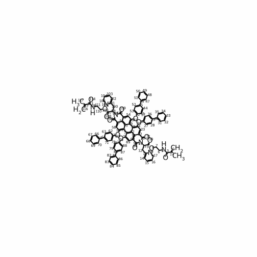 C=C(C)C(=O)NCCOC(=O)C(Cc1ccccn1)N1C(=O)c2cc(Oc3ccc(-c4ccccc4)cc3)c3c4c(Oc5ccc(-c6ccccc6)cc5)cc5c6c(cc(Oc7ccc(-c8ccccc8)cc7)c(c7c(Oc8ccc(-c9ccccc9)cc8)cc(c2c37)C1=O)c64)C(=O)N(C(Cc1ccccn1)C(=O)OCCNC(=O)C(=C)C)C5=O